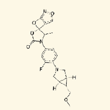 COC[C@@H]1[C@H]2CN(c3ccc(N4C(=O)O[C@@]5(Oc6nocc65)C4C)cc3F)C[C@@H]12